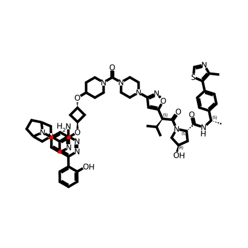 Cc1ncsc1-c1ccc([C@H](C)NC(=O)[C@@H]2C[C@@H](O)CN2C(=O)[C@H](c2cc(N3CCN(C(=O)N4CCC(O[C@H]5C[C@H](Oc6cc(N7C8CCC7CN(c7cc(-c9ccccc9O)nnc7N)C8)ccn6)C5)CC4)CC3)no2)C(C)C)cc1